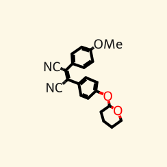 COc1ccc(C(C#N)=C(C#N)c2ccc(OC3CCCCO3)cc2)cc1